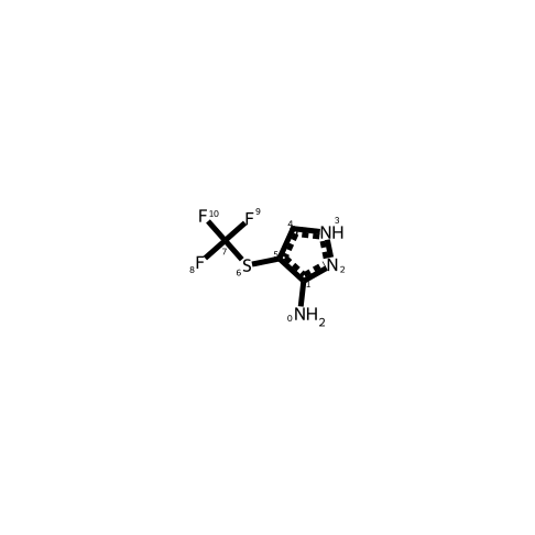 Nc1n[nH]cc1SC(F)(F)F